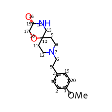 COc1ccc(CCN2CCC3(CC2)CNC(=O)CO3)cc1